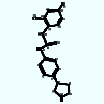 O=C(Nc1ccc([C@H]2CCNC2)cc1)Nc1ccc(Cl)cc1Cl